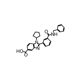 O=C(O)c1ccc2c(c1)nc(-c1cccc(C(=O)NCc3ccccc3)c1)n2C1CCCC1